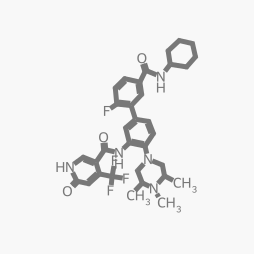 CC1CN(c2ccc(-c3cc(C(=O)NC4CCCCC4)ccc3F)cc2NC(=O)c2c[nH]c(=O)cc2C(F)(F)F)CC(C)N1C